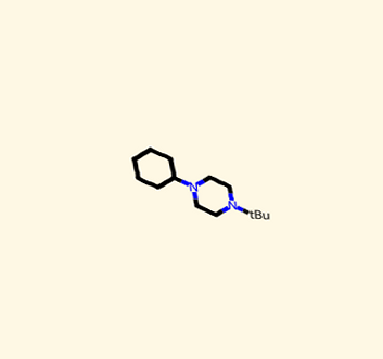 CC(C)(C)N1CCN(C2CCCCC2)CC1